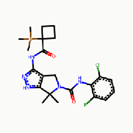 CC1(C)c2[nH]nc(NC(=O)C3(S(C)(C)C)CCC3)c2CN1C(=O)Nc1c(F)cccc1Cl